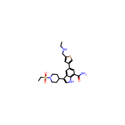 CCNCc1cc(-c2cc(C(N)=O)c3[nH]cc(C4CCN(S(=O)(=O)CC)CC4)c3c2)cs1